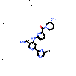 Cc1cncc(-c2cc(Nc3cccc(C(=O)N4CCC[C@H](N)C4)n3)c(C=N)cn2)n1